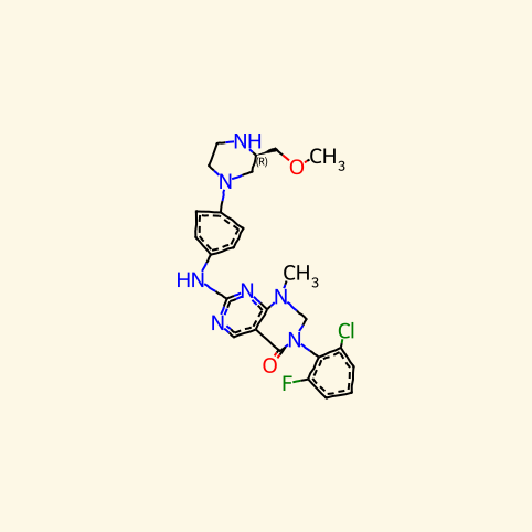 COC[C@H]1CN(c2ccc(Nc3ncc4c(n3)N(C)CN(c3c(F)cccc3Cl)C4=O)cc2)CCN1